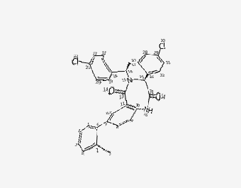 Cc1ccccc1-c1ccc2c(c1)C(=O)N([C@H](C)c1ccc(Cl)cc1)[C@@H](c1ccc(Cl)cc1)C(=O)N2